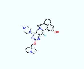 C#Cc1cccc2cc(O)cc(-c3ncc4c(N5CCN(C)CC5)nc(OCC56CCCN5CCC6)nc4c3F)c12